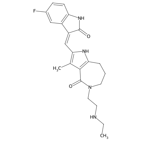 CCNCCN1CCCc2[nH]c(C=C3C(=O)Nc4ccc(F)cc43)c(C)c2C1=O